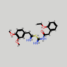 CCOc1ccccc1CC(=O)NC(=N)SC(=N)Cc1ccc(OC)c(OC)c1